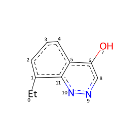 CCc1cccc2c(O)cnnc12